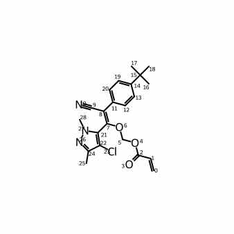 C=CC(=O)OCO/C(=C(/C#N)c1ccc(C(C)(C)C)cc1)c1c(Cl)c(C)nn1C